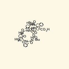 CCCC(=O)N[C@@H](Cc1ccccc1)C(=O)N[C@@H](CCC(=O)O)C(=O)N[C@@H]1C(=O)N[C@@H](CC2C=CC(O)CC2)C(=O)N[C@H]2CC[C@@H](O)N(C2=O)[C@@H](C(C)C)C(=O)N(C)[C@@H](Cc2ccccc2)C(=O)N[C@@H]([C@@H](C)CC)C(=O)O[C@@H]1C